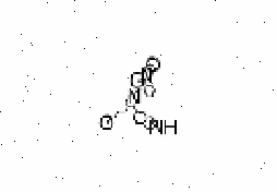 O=CCCCC1CCN(Cc2ccccc2C(=O)N2CCOCC2)CC1C1=CC2C=CNCCC2C=C1